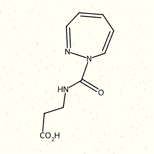 O=C(O)CCNC(=O)N1C=CC=CC=N1